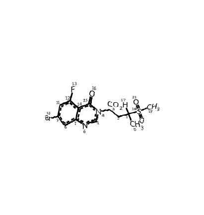 CC(CCn1cnc2cc(Br)cc(F)c2c1=O)(C(=O)O)S(C)(=O)=O